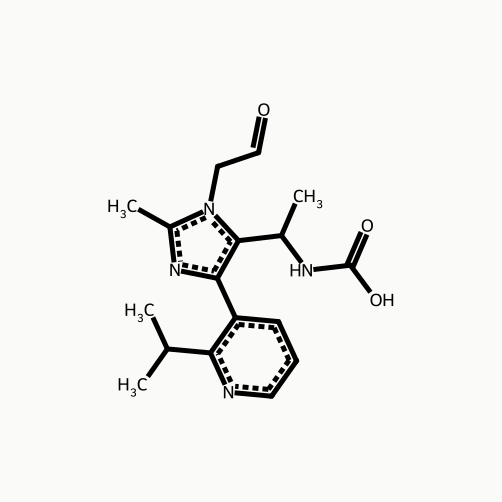 Cc1nc(-c2cccnc2C(C)C)c(C(C)NC(=O)O)n1CC=O